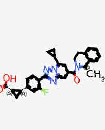 C[C@@H]1c2ccccc2CCN1C(=O)c1cc(C2CC2)n2nc(-c3ccc([C@@H]4C[C@@H]4C(=O)O)cc3F)nc2c1